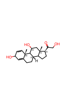 C[C@]12C=CC(O)C=C1CC[C@@H]1C2[C@@H](O)C[C@@]2(C)C1CC[C@@H]2C(=O)CO